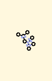 c1ccc(-c2cc(-c3ccccc3)nc(-c3cccc(-n4c5nc6ccccc6n5c5ccccc5n5c6ccccc6nc45)c3)n2)cc1